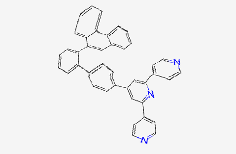 c1ccc(-c2cc3ccccc3c3ccccc23)c(-c2ccc(-c3cc(-c4ccncc4)nc(-c4ccncc4)c3)cc2)c1